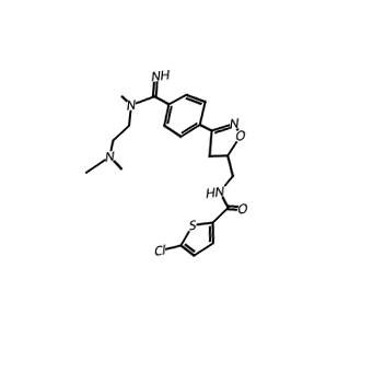 CN(C)CCN(C)C(=N)c1ccc(C2=NOC(CNC(=O)c3ccc(Cl)s3)C2)cc1